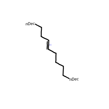 CCCCCCCCCCCC/C=C/CCCCCCCCCCCCCC